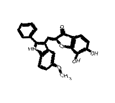 COc1ccc2[nH]c(-c3ccccc3)c(C=C3Oc4c(ccc(O)c4O)C3=O)c2c1